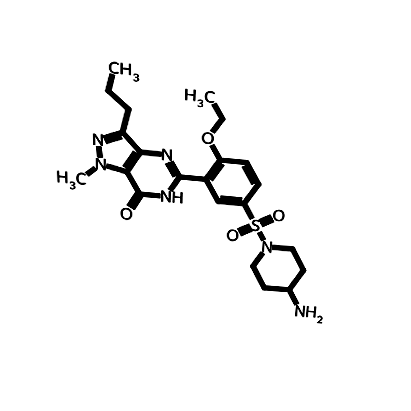 CCCc1nn(C)c2c(=O)[nH]c(-c3cc(S(=O)(=O)N4CCC(N)CC4)ccc3OCC)nc12